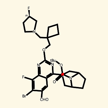 CC(C)(C)OC(=O)N1C2CCC1CN(c1nc(OCC3(CN4CC[C@@H](F)C4)CCC3)nc3c(F)c(Br)c(C=O)cc13)C2